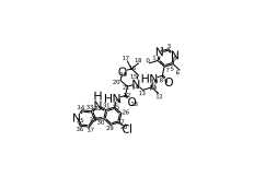 Cc1ncnc(C)c1C(=O)N[C@@H](C)CN1CC(C)(C)OCC1C(=O)Nc1cc(Cl)cc2c1[nH]c1cnccc12